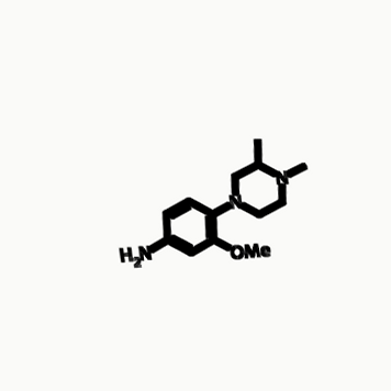 COc1cc(N)ccc1N1CCN(C)C(C)C1